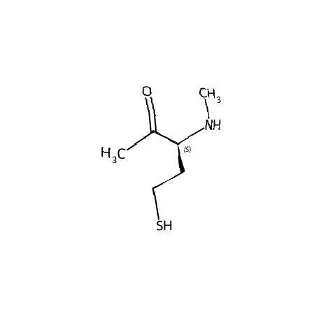 CN[C@@H](CCS)C(C)=O